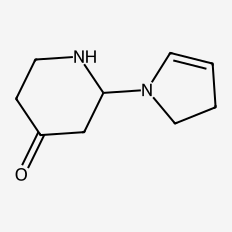 O=C1CCNC(N2C=CCC2)C1